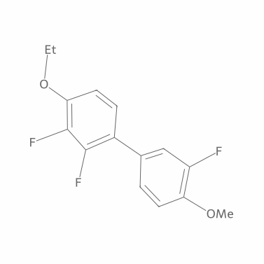 CCOc1ccc(-c2ccc(OC)c(F)c2)c(F)c1F